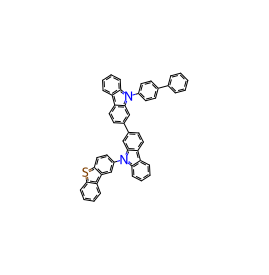 c1ccc(-c2ccc(-n3c4ccccc4c4ccc(-c5ccc6c7ccccc7n(-c7ccc8sc9ccccc9c8c7)c6c5)cc43)cc2)cc1